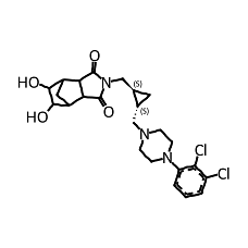 O=C1C2C3CC(C(O)C3O)C2C(=O)N1C[C@H]1C[C@@H]1CN1CCN(c2cccc(Cl)c2Cl)CC1